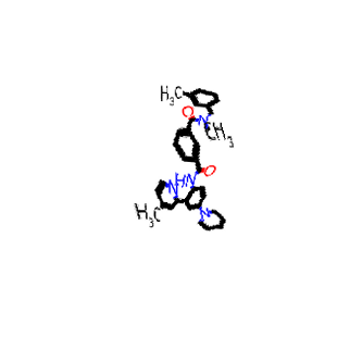 Cc1cccc(CN(C)C(=O)c2cccc(C(=O)Nc3ccc(N4CCCCC4)cc3-c3cc(C)ccn3)c2)c1